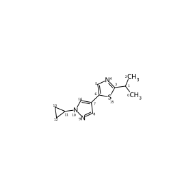 CC(C)c1ncc(-c2cnn(C3CC3)c2)s1